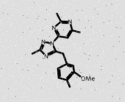 COc1cc(Cc2nc(C)nn2-c2cc(C)nc(C)n2)ccc1C